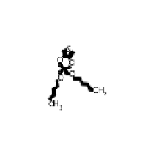 CCCCCCOCC1(COCCCCCC)COc2[c]s[c]c2OC1